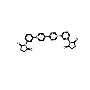 O=C1CCC(=O)N1c1cccc(-[n+]2ccc(-c3cc[n+](-c4cccc(N5C(=O)CCC5=O)c4)cc3)cc2)c1